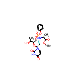 CCCCOC(=O)[C@@H](C)NP(=O)(OC[C@@H](O[C@H](CF)n1ccc(=O)[nH]c1=O)[C@H](C)O)Oc1ccccc1